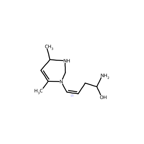 CC1=CC(C)NCN1/C=C\CC(N)O